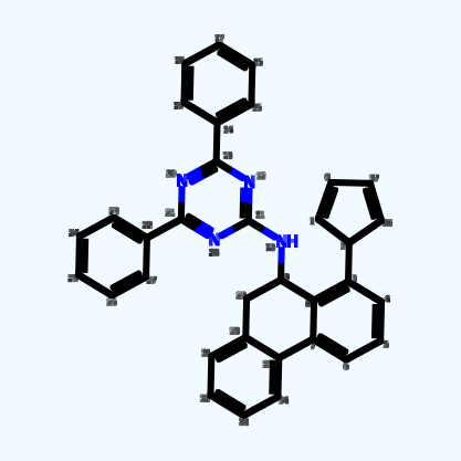 C1=CC(c2cccc3c2C(Nc2nc(-c4ccccc4)nc(-c4ccccc4)n2)Cc2ccccc2-3)C=C1